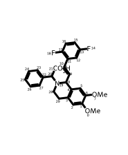 COc1cc2c(cc1OC)C(/C=C/c1cc(F)ccc1F)N(C(C(=O)O)c1ccccc1)CC2